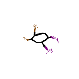 PC1CC(S)C(S)CC1P